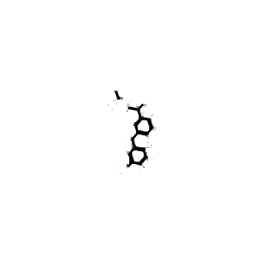 CC(=O)OCC(C)c1ccc2c(c1)Cc1cc(Cl)ccc1S2